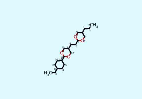 CCCC1COC(CCC2COC(C3CCC(CC)CC3)OC2)OC1